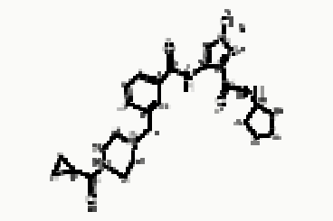 Cn1cc(NC(=O)c2cccc(CN3CCN(C(=O)C4CC4)CC3)c2)c(C(=O)NC2CCCC2)n1